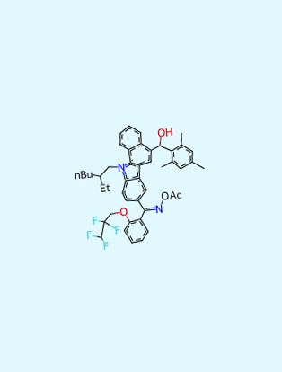 CCCCC(CC)Cn1c2ccc(/C(=N\OC(C)=O)c3ccccc3OCC(F)(F)C(F)F)cc2c2cc(C(O)c3c(C)cc(C)cc3C)c3ccccc3c21